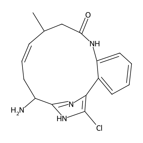 CC1C=CCC(N)c2nc(c(Cl)[nH]2)-c2ccccc2NC(=O)C1